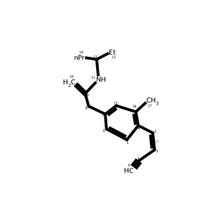 C#C/C=C\c1ccc(CC(=C)NC(CC)CCC)cc1C